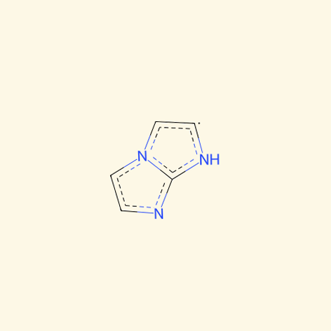 [c]1cn2ccnc2[nH]1